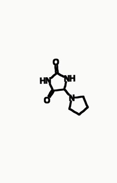 O=C1NC(=O)C(N2CCCC2)N1